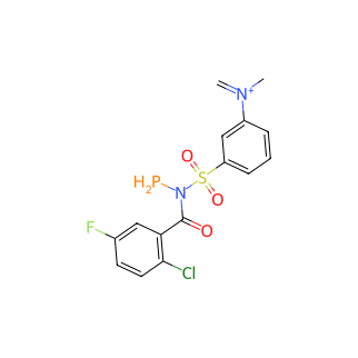 C=[N+](C)c1cccc(S(=O)(=O)N(P)C(=O)c2cc(F)ccc2Cl)c1